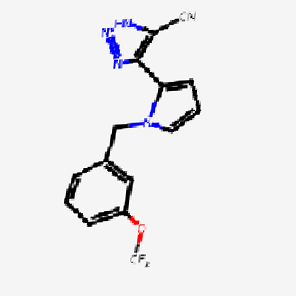 N#Cc1[nH]nnc1-c1cccn1Cc1cccc(OC(F)(F)F)c1